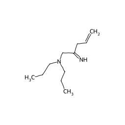 C=CCC(=N)CN(CCC)CCC